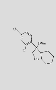 COC(CO)(c1ccc(Cl)cc1Cl)C1CCCCC1